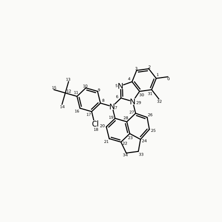 Cc1ccc2nc3n(-c4ccc(C(C)(C)C)cc4Cl)c4ccc5c6c(ccc(c64)n3c2c1C)CC5